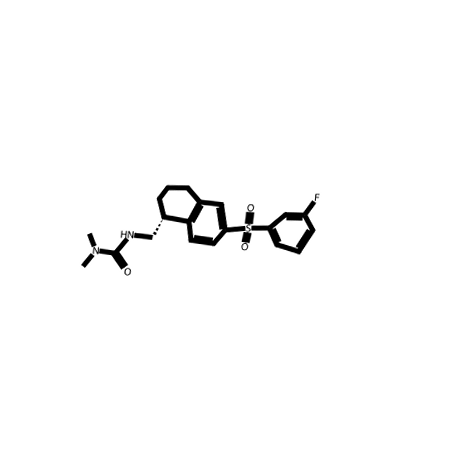 CN(C)C(=O)NC[C@@H]1CCCc2cc(S(=O)(=O)c3cccc(F)c3)ccc21